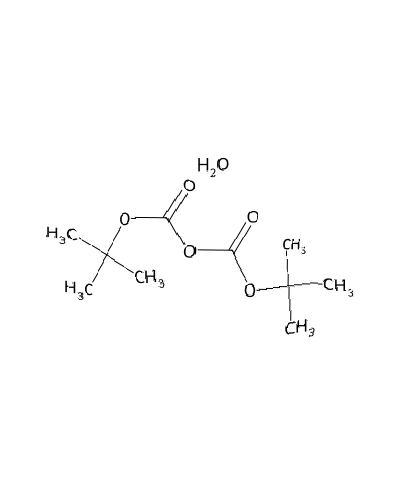 CC(C)(C)OC(=O)OC(=O)OC(C)(C)C.O